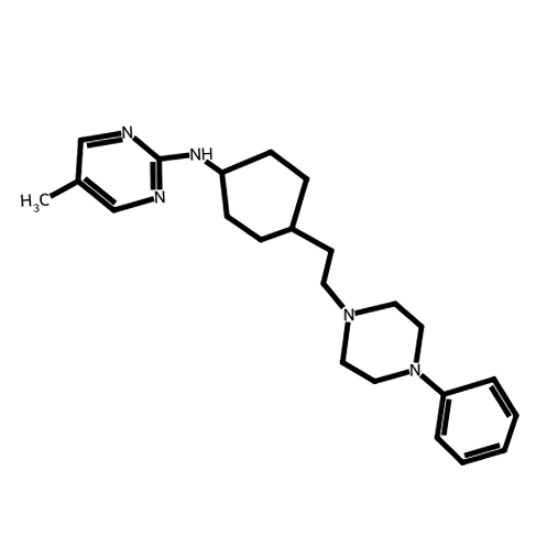 Cc1cnc(NC2CCC(CCN3CCN(c4ccccc4)CC3)CC2)nc1